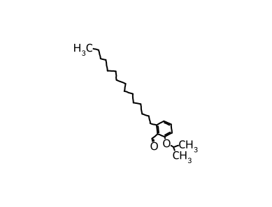 CCCCCCCCCCCCCCCc1cccc(OC(C)C)c1C=O